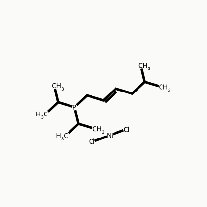 CC(C)CC=CCP(C(C)C)C(C)C.[Cl][Ni][Cl]